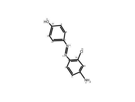 Nc1ccc(N=Nc2ccc(O)cc2)c(Cl)c1